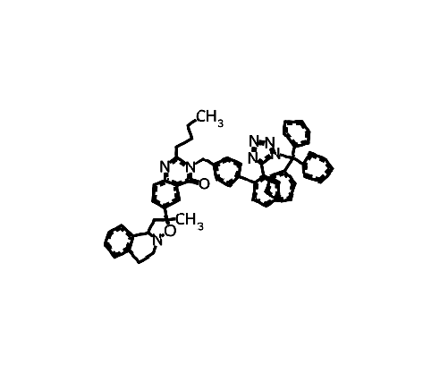 CCCCc1nc2ccc(C3(C)CC4c5ccccc5CCN4O3)cc2c(=O)n1Cc1ccc(-c2ccccc2-c2nnnn2C(c2ccccc2)(c2ccccc2)c2ccccc2)cc1